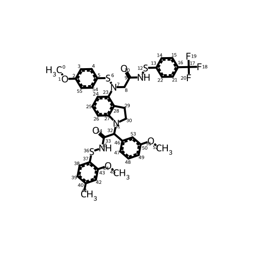 COc1ccc(SN(CC(=O)NSc2ccc(C(F)(F)F)cc2)c2cccc3c2CCN3C(C(=O)NSc2ccc(C)cc2OC)c2cccc(OC)c2)cc1